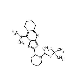 CN(C)c1c2c(nc3cc(C4CCCCN4C(=O)OC(C)(C)C)nn13)CCCC2